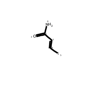 NC(=O)/C=C/I